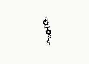 ClCCCOc1ccc(-c2nc3c(s2)CNCC3)cc1